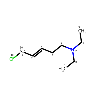 CCN(CC)CCC=C[SiH2]Cl